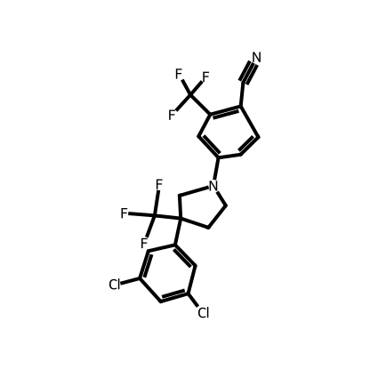 N#Cc1ccc(N2CCC(c3cc(Cl)cc(Cl)c3)(C(F)(F)F)C2)cc1C(F)(F)F